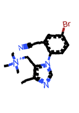 Cc1ncn(-c2ccc(Br)cc2C#N)c1C[N+](C)(C)C